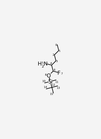 CCCCC(N)C(F)O[Si](C)(C)C(C)(C)C